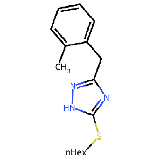 CCCCCCSc1nc(Cc2ccccc2C)n[nH]1